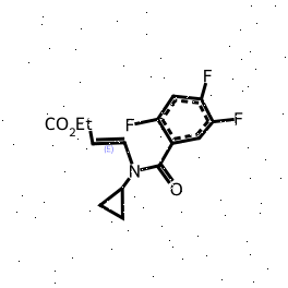 CCOC(=O)/C=C/N(C(=O)c1cc(F)c(F)cc1F)C1CC1